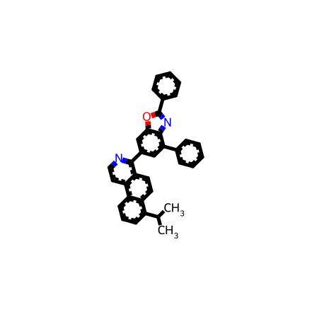 CC(C)c1cccc2c1ccc1c(-c3cc(-c4ccccc4)c4nc(-c5ccccc5)oc4c3)nccc12